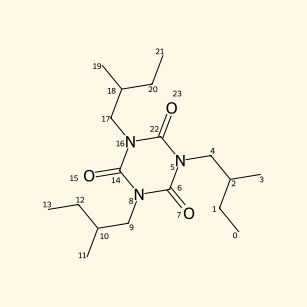 CCC(C)Cn1c(=O)n(CC(C)CC)c(=O)n(CC(C)CC)c1=O